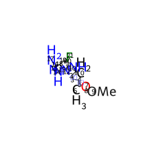 C=C(/C=C\C=C(/C)OCOC)Nc1nc2[nH]nc(N)c2cc1F